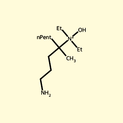 CCCCCC(C)(CCCN)[N+](O)(CC)CC